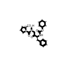 CN(CC(=O)[C@H](Cc1ccccc1)NC(=O)OC1CCCCC1)C(=O)N1CCC[C@H]1C(=O)O